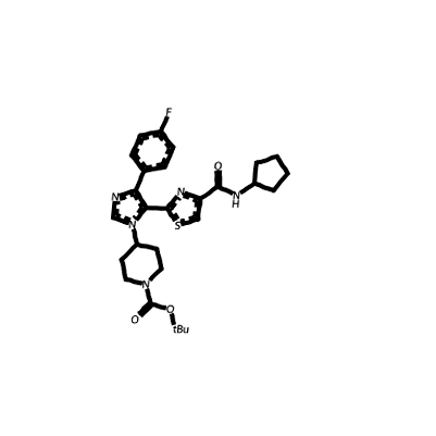 CC(C)(C)OC(=O)N1CCC(n2cnc(-c3ccc(F)cc3)c2-c2nc(C(=O)NC3CCCC3)cs2)CC1